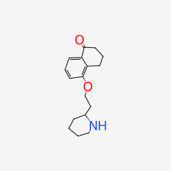 O=C1CCCc2c(OCCC3CCCCN3)cccc21